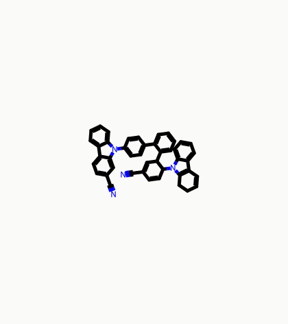 N#CC1=CC(c2ccccc2-c2ccc(-n3c4ccccc4c4ccc(C#N)cc43)cc2)C(n2c3c(c4ccccc42)C=CCC3)C=C1